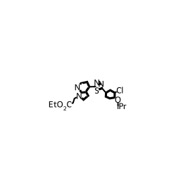 CCOC(=O)CCn1ccc2c(-c3nnc(-c4ccc(OC(C)C)c(Cl)c4)s3)ccnc21